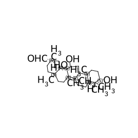 CC1(C)[C@@H](O)CC[C@]2(C)C3=CC(O)[C@]4(O)[C@@H]5C[C@@](C)(C=O)CC[C@]5(C)CC[C@@]4(C)[C@]3(C)CC[C@@H]12